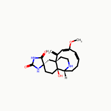 C=C1/C=C(OC)\C=C/CC[C@H]2NCC[C@@]13C[C@]1(CC[C@@]23O)NC(=O)NC1=O